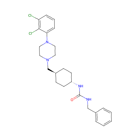 O=C(NCc1ccccc1)N[C@H]1CC[C@H](CN2CCN(c3cccc(Cl)c3Cl)CC2)CC1